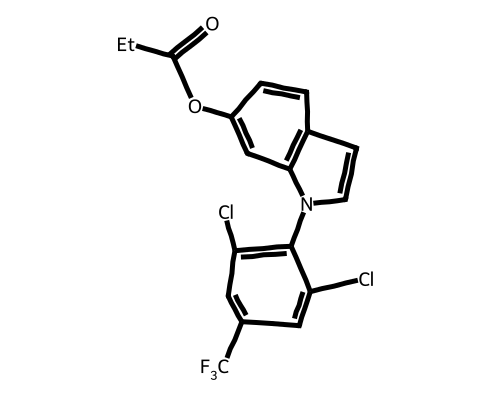 CCC(=O)Oc1ccc2ccn(-c3c(Cl)cc(C(F)(F)F)cc3Cl)c2c1